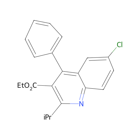 CCOC(=O)c1c(C(C)C)nc2ccc(Cl)cc2c1-c1ccccc1